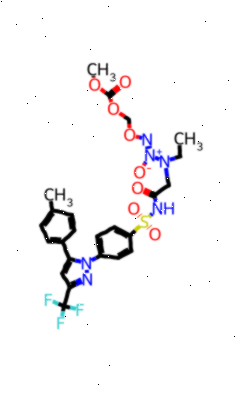 CCN(CC(=O)NS(=O)(=O)c1ccc(-n2nc(C(F)(F)F)cc2-c2ccc(C)cc2)cc1)[N+]([O-])=NOCOC(=O)OC